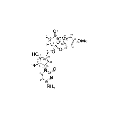 COC(=O)[C@H](C)NP(=O)(OC[C@H]1S[C@@H](n2ccc(N)nc2=O)[C@@H](F)[C@@H]1O)Oc1ccc(OC)cc1